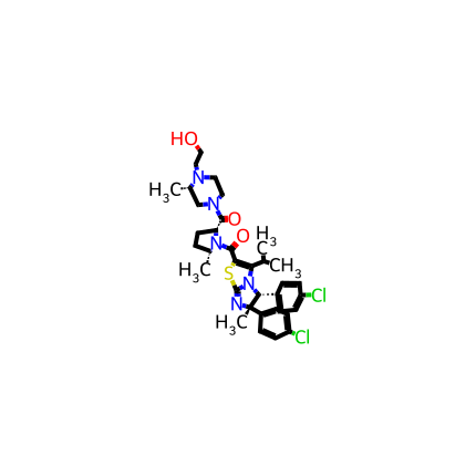 CC(C)C1=C(C(=O)N2[C@H](C)CC[C@@H]2C(=O)N2CCN(CCO)[C@@H](C)C2)SC2=N[C@@](C)(c3ccc(Cl)cc3)[C@@H](c3ccc(Cl)cc3)N21